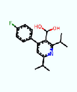 CC(C)c1cc(-c2ccc(F)cc2)c(C(O)O)c(C(C)C)n1